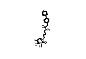 Cc1cn(CC=CCNC(=O)Cc2ccc(-c3ccccc3)cc2)c(=O)[nH]c1=O